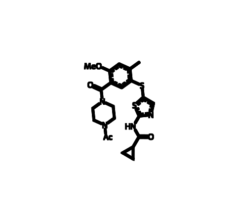 COc1cc(C)c(Sc2cnc(NC(=O)C3CC3)s2)cc1C(=O)N1CCN(C(C)=O)CC1